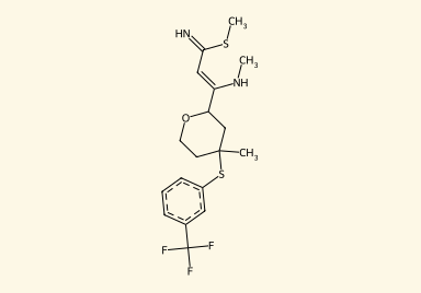 CN/C(=C\C(=N)SC)C1CC(C)(Sc2cccc(C(F)(F)F)c2)CCO1